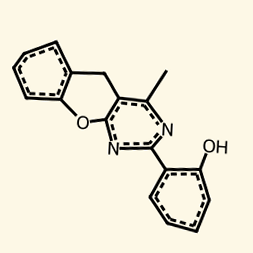 Cc1nc(-c2ccccc2O)nc2c1Cc1ccccc1O2